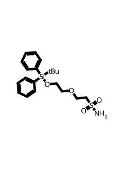 CC(C)(C)[Si](OCCOCCS(N)(=O)=O)(c1ccccc1)c1ccccc1